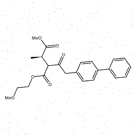 COCCOC(=O)C(C(=O)Cc1ccc(-c2ccccc2)cc1)[C@@H](C)C(=O)OC